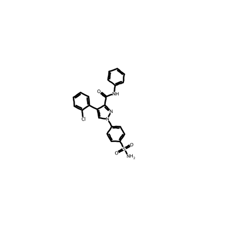 NS(=O)(=O)c1ccc(-n2cc(-c3ccccc3Cl)c(C(=O)Nc3ccccc3)n2)cc1